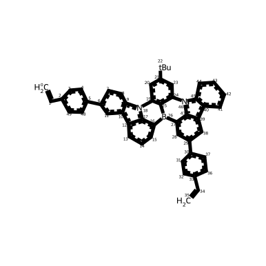 C=Cc1ccc(-c2ccc3c(c2)c2cccc4c2n3-c2cc(C(C)(C)C)cc3c2B4c2cc(-c4ccc(C=C)cc4)cc4c5ccccc5n-3c24)cc1